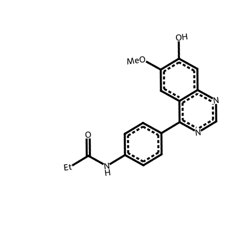 CCC(=O)Nc1ccc(-c2ncnc3cc(O)c(OC)cc23)cc1